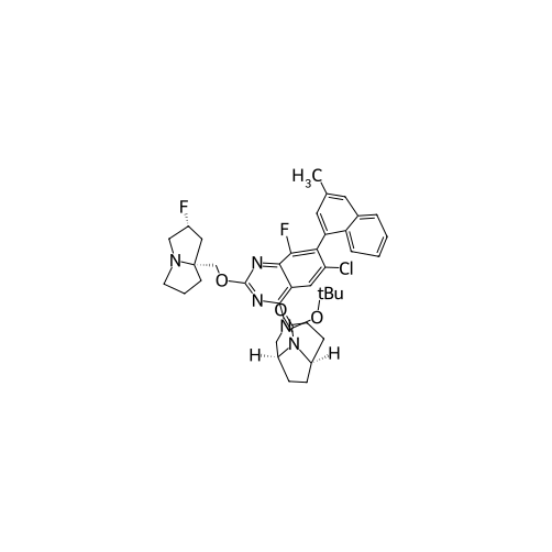 Cc1cc(-c2c(Cl)cc3c(N4CC[C@H]5CC[C@@H](C4)N5C(=O)OC(C)(C)C)nc(OC[C@]45CCCN4C[C@H](F)C5)nc3c2F)c2ccccc2c1